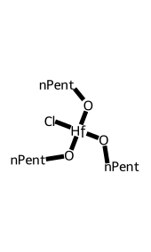 CCCCC[O][Hf]([Cl])([O]CCCCC)[O]CCCCC